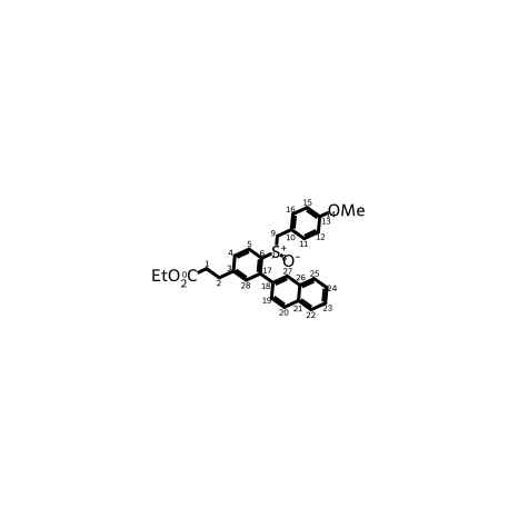 CCOC(=O)CCc1ccc([S+]([O-])Cc2ccc(OC)cc2)c(-c2ccc3ccccc3c2)c1